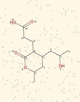 CC(O)CC1CC(C)OC(=O)C1CCC(=O)O